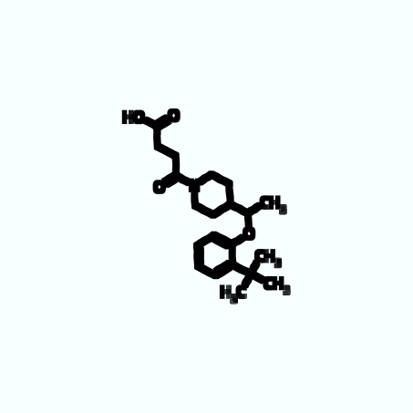 CC(Oc1ccccc1C(C)(C)C)C1CCN(C(=O)CCC(=O)O)CC1